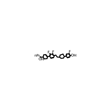 CCCC(O)C1CC=C(c2ccc(CCC3CCC(c4ccc(O)c(F)c4)CC3)c(F)c2F)CC1